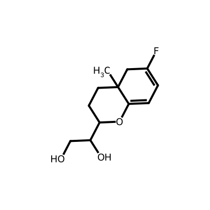 CC12CCC(C(O)CO)OC1=CC=C(F)C2